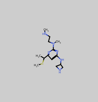 CNCCN(C)c1nc(NC2CNC2)cc(C(C)SC)n1